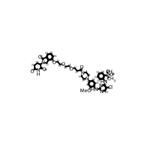 COc1cc(N2CCN(C(=O)CCOCCOCCOc3cccc4c3CN(C3CCC(=O)NC3=O)C4=O)CC2)ccc1Nc1ncc(Cl)c(Nc2ccccc2P(C)(C)=O)n1